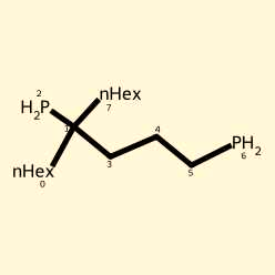 CCCCCCC(P)(CCCP)CCCCCC